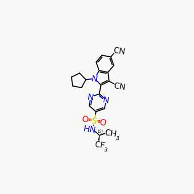 C[C@H](NS(=O)(=O)c1cnc(-c2c(C#N)c3cc(C#N)ccc3n2C2CCCC2)nc1)C(F)(F)F